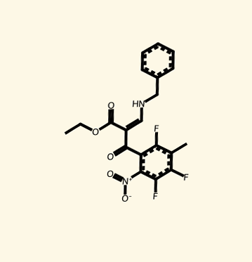 CCOC(=O)C(=CNCc1ccccc1)C(=O)c1c(F)c(C)c(F)c(F)c1[N+](=O)[O-]